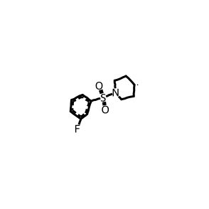 O=S(=O)(c1cccc(F)c1)N1CC[CH]CC1